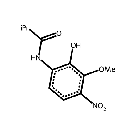 COc1c([N+](=O)[O-])ccc(NC(=O)C(C)C)c1O